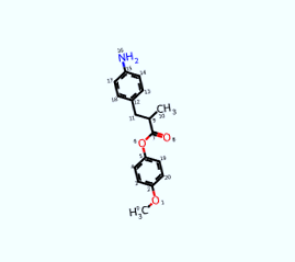 COc1ccc(OC(=O)C(C)Cc2ccc(N)cc2)cc1